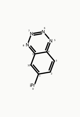 CC(C)c1ccc2nnnnc2c1